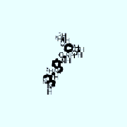 [2H]C([2H])([2H])Oc1ccc(OC([2H])([2H])[2H])c(NC(=O)Nc2cccc3c2ccn3C([2H])([2H])c2ccnc3[nH]ccc23)c1